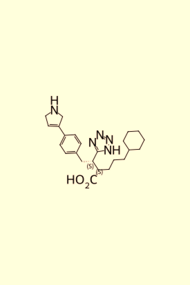 O=C(O)[C@@H](CCCC1CCCCC1)[C@H](Cc1ccc(C2=CCNC2)cc1)c1nnn[nH]1